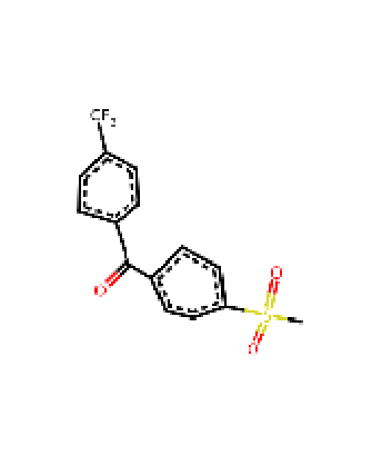 CS(=O)(=O)c1ccc(C(=O)c2ccc(C(F)(F)F)cc2)cc1